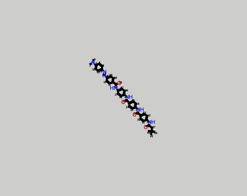 CN(C)c1ccc(/N=N/c2ccc(C(=O)Nc3ccc(NC(=O)c4ccc(NC(=O)c5ccc(NC(=O)CC(C)(C)C)cc5)cc4)cc3)cc2)cc1